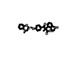 CN1C[C@@H](COc2ccc(C(=O)C(C)(C(=O)O)c3cccc4[nH]ccc34)cc2)Oc2ccccc21